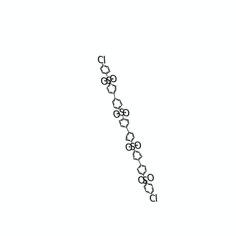 O=S(=O)(c1ccc(Cl)cc1)c1ccc(-c2ccc(S(=O)(=O)c3ccc(-c4ccc(S(=O)(=O)c5ccc(-c6ccc(S(=O)(=O)c7ccc(Cl)cc7)cc6)cc5)cc4)cc3)cc2)cc1